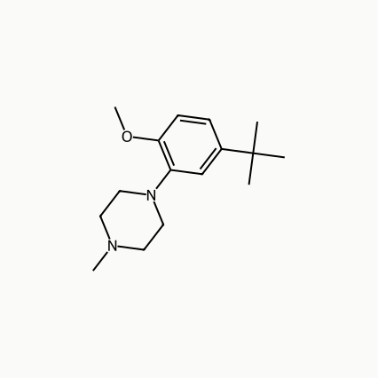 COc1ccc(C(C)(C)C)cc1N1CCN(C)CC1